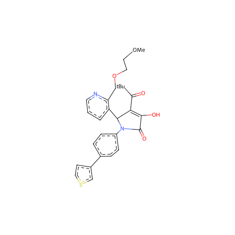 COCCOCc1ncccc1C1C(C(=O)C(C)(C)C)=C(O)C(=O)N1c1ccc(-c2ccsc2)cc1